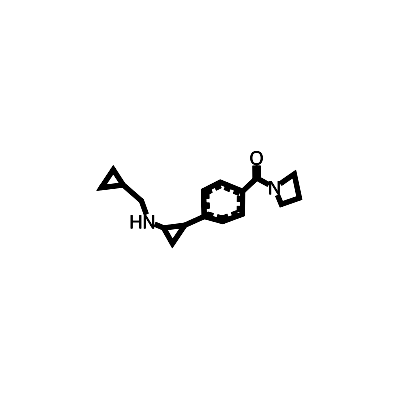 O=C(c1ccc(C2CC2NCC2CC2)cc1)N1CCC1